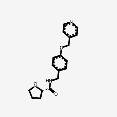 O=C(NCc1ccc(OCc2ccncc2)cc1)[C@@H]1CCCN1